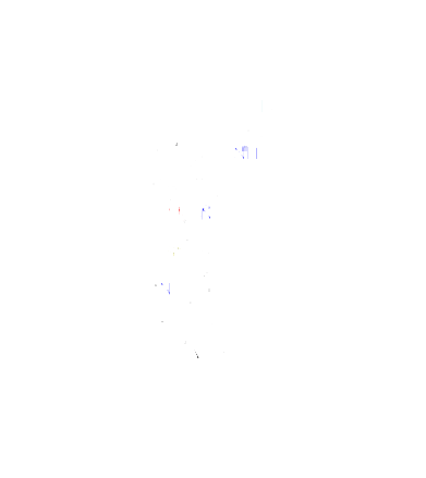 CC(C)(C)[C@H]1CCc2nc3sc(C(=O)NC(CCNCCF)c4ccccc4)cc3cc2C1